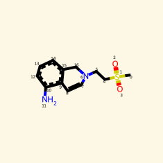 CS(=O)(=O)CCN1C=Cc2c(N)cccc2C1